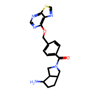 NC1CCC2CN(C(=O)c3ccc(COc4ncnc5scnc45)cc3)CC12